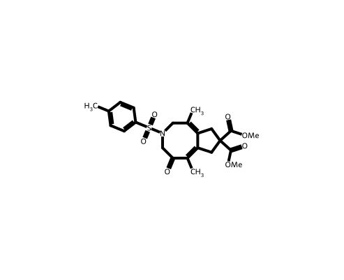 COC(=O)C1(C(=O)OC)CC2=C(\C)CN(S(=O)(=O)c3ccc(C)cc3)CC(=O)/C(C)=C\2C1